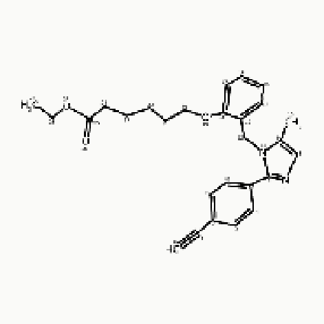 C#Cc1ccc(-c2ncc(C)n2Cc2ccccc2OCCCCCC(=O)OCC)cc1